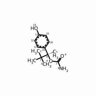 CC(C)(C)[C@](C)(OC(N)=O)c1ccc(O)cc1